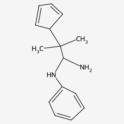 CC(C)(C1C=CC=C1)C(N)Nc1ccccc1